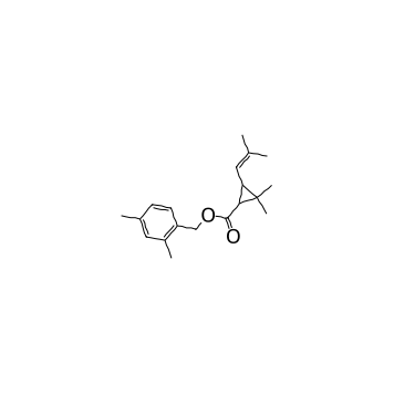 CC(C)=CC1C(C(=O)OCc2ccc(C)cc2C)C1(C)C